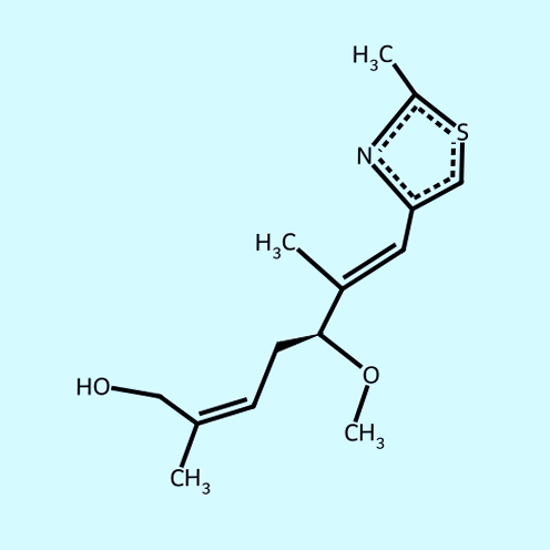 CO[C@@H](C/C=C(/C)CO)/C(C)=C/c1csc(C)n1